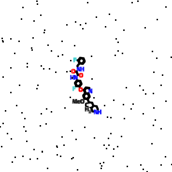 C=C(CC1CCNCC1)c1cc2nccc(Oc3ccc(NC(=O)C(=O)NCc4ccccc4F)cc3F)c2cc1OC